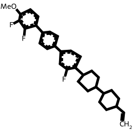 C=CC1CCC(C2CCC(c3ccc(-c4ccc(-c5ccc(OC)c(F)c5F)cc4)cc3F)CC2)CC1